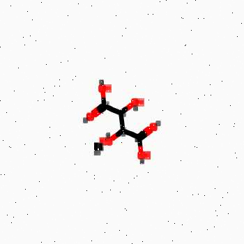 O=C(O)C(O)C(O)C(=O)O.[Pt]